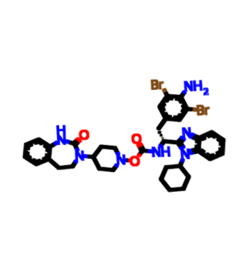 Nc1c(Br)cc(C[C@@H](NC(=O)ON2CCC(N3CCc4ccccc4NC3=O)CC2)c2nc3ccccc3n2C2CCCCC2)cc1Br